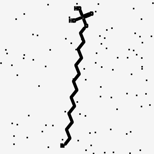 O=P(O)(O)OCCCCCCCCCCCCCCBr